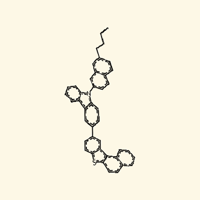 CCCCc1ccc2ccc(-n3c4ccccc4c4cc(-c5ccc6sc7ccc8ccccc8c7c6c5)ccc43)cc2c1